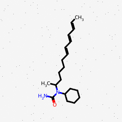 CC=CC=CC=CCCCCC(C)N(C(N)=O)C1CCCCC1